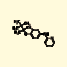 CC(C)(C)[Si](C)(C)Oc1ccc(Nc2ccccn2)cc1